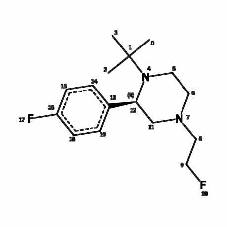 CC(C)(C)N1CCN(CCF)C[C@H]1c1ccc(F)cc1